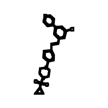 O=S(=O)(C1CC1)N1CCN(c2ccc(/C=C/c3cc(Cl)cc(-c4ccncc4)c3)cc2)CC1